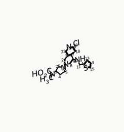 CN(C(=O)O)C1CCN(N2C=C(NCc3cccs3)c3cc(Cl)ncc3C2)C1